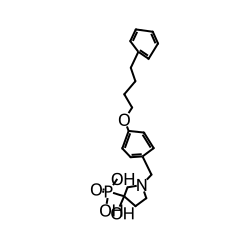 O=P(O)(O)C1(O)CCN(Cc2ccc(OCCCCc3ccccc3)cc2)C1